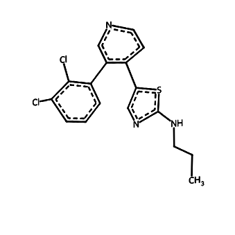 CCCNc1ncc(-c2ccncc2-c2cccc(Cl)c2Cl)s1